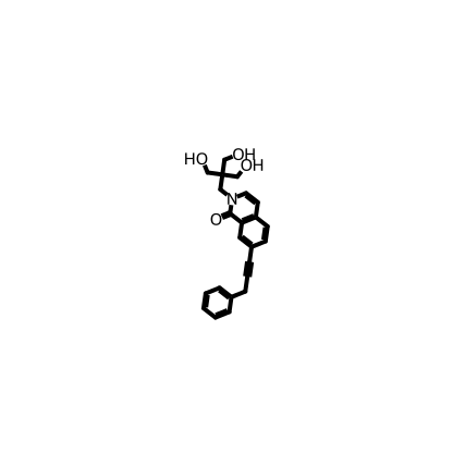 O=c1c2cc(C#CCc3ccccc3)ccc2ccn1CC(CO)(CO)CO